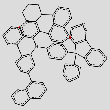 c1ccc(-c2ccc(-c3cccc4ccccc34)cc2N(c2ccc(C3(c4ccccc4)c4ccccc4-c4ccccc43)cc2)c2ccccc2-c2cccc3cccc(C4CCCCC4)c23)cc1